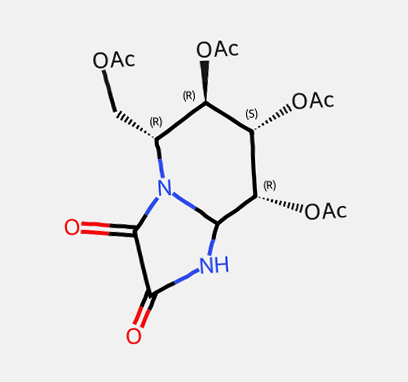 CC(=O)OC[C@@H]1[C@@H](OC(C)=O)[C@H](OC(C)=O)[C@H](OC(C)=O)C2NC(=O)C(=O)N21